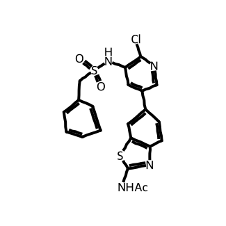 CC(=O)Nc1nc2ccc(-c3cnc(Cl)c(NS(=O)(=O)Cc4ccccc4)c3)cc2s1